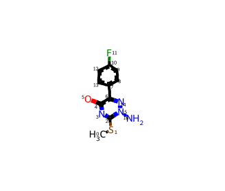 CSc1nc(=O)c(-c2ccc(F)cc2)nn1N